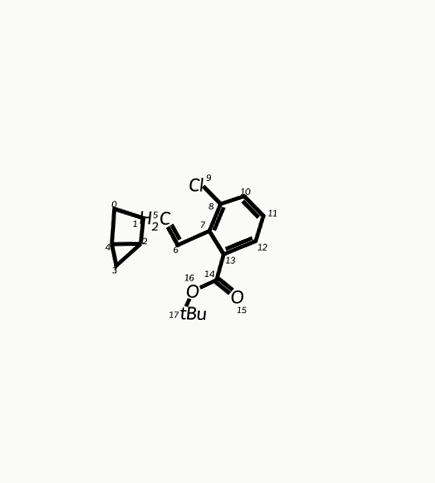 C1CC2CC12.C=Cc1c(Cl)cccc1C(=O)OC(C)(C)C